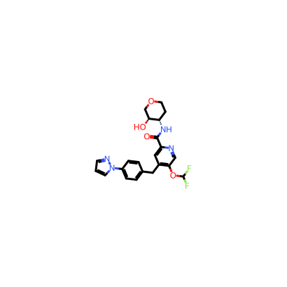 O=C(N[C@H]1CCOC[C@@H]1O)c1cc(Cc2ccc(-n3cccn3)cc2)c(OC(F)F)cn1